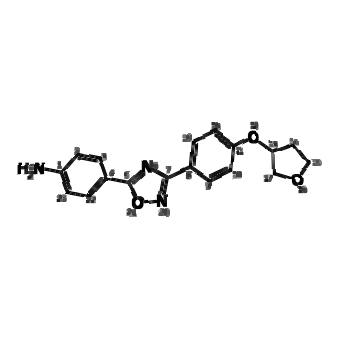 Nc1ccc(-c2nc(-c3ccc(OC4CCOC4)cc3)no2)cc1